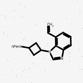 C=Cc1cccc2ncn(C3CC(CCCCC)C3)c12